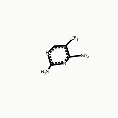 Nc1n[c]c(C(F)(F)F)c(N)n1